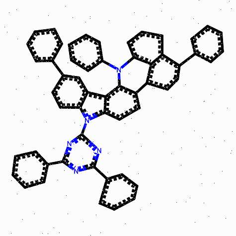 c1ccc(-c2ccc3c(c2)c2c4c(ccc2n3-c2nc(-c3ccccc3)nc(-c3ccccc3)n2)-c2ccc(-c3ccccc3)c3cccc(c23)N4c2ccccc2)cc1